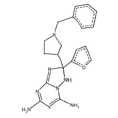 NC1=NC2=NC(c3ccco3)(C3CCN(Cc4ccccc4)C3)NN2C(N)=N1